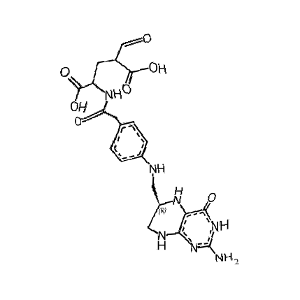 Nc1nc2c(c(=O)[nH]1)N[C@H](CNc1ccc(C(=O)NC(CC(C=O)C(=O)O)C(=O)O)cc1)CN2